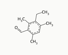 CCc1c(C)cc(C)c(C=O)c1C